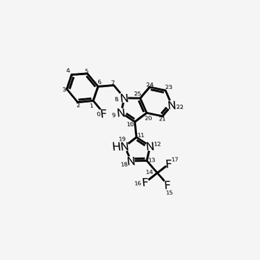 Fc1ccccc1Cn1nc(-c2nc(C(F)(F)F)n[nH]2)c2cnccc21